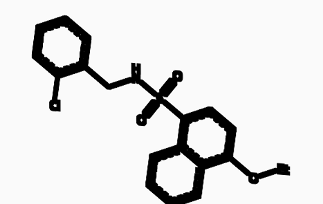 CCOc1ccc(S(=O)(=O)NCc2ccccc2Cl)c2ccccc12